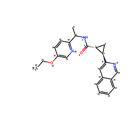 CC(NC(=O)[C@@H]1C[C@H]1c1cc2ccccc2cn1)c1ccc(OCC(F)(F)F)cn1